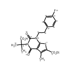 CCOC(=O)c1sc2c(c1C)c(=O)n(C(C)(C)C(=O)O)c(=O)n2CCc1ccc(F)cc1